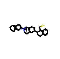 SCC1c2ccccc2CCC1c1ccc2c(c1)C1CNC2C(c2ccc3c(c2)C2CCC3CC2)C1